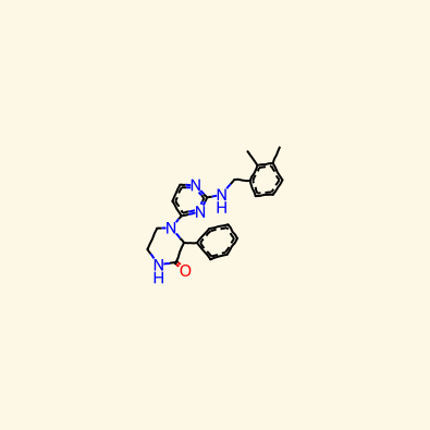 Cc1cccc(CNc2nccc(N3CCNC(=O)C3c3ccccc3)n2)c1C